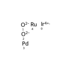 [Ir+4].[O-2].[O-2].[Pd].[Ru]